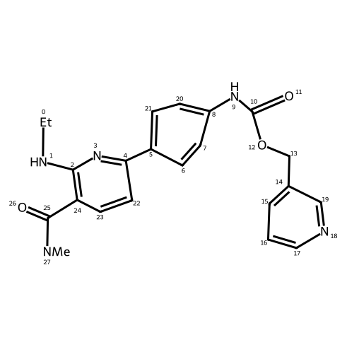 CCNc1nc(-c2ccc(NC(=O)OCc3cccnc3)cc2)ccc1C(=O)NC